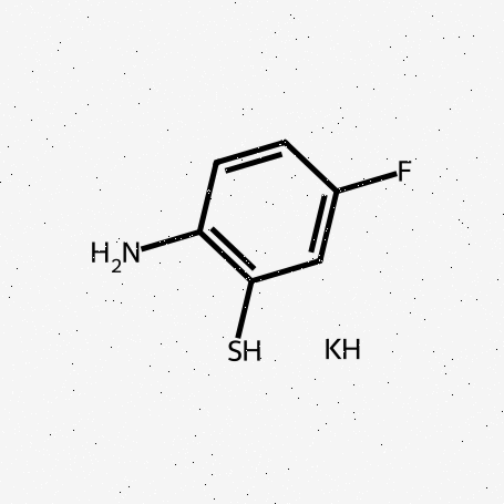 Nc1ccc(F)cc1S.[KH]